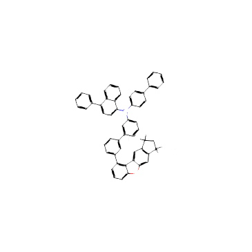 CC1(C)CC(C)(C)c2cc3c(cc21)oc1cccc(-c2cccc(-c4cccc(N(c5ccc(-c6ccccc6)cc5)c5ccc(-c6ccccc6)c6ccccc56)c4)c2)c13